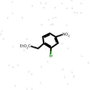 CCOC(=O)Cc1ccc([N+](=O)[O-])cc1Br